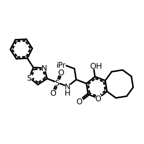 CC(C)CC(NS(=O)(=O)c1csc(-c2ccccc2)n1)c1c(O)c2c(oc1=O)CCCCCC2